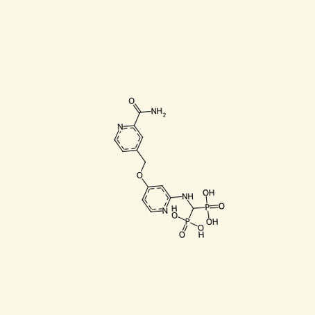 NC(=O)c1cc(COc2ccnc(NC(P(=O)(O)O)P(=O)(O)O)c2)ccn1